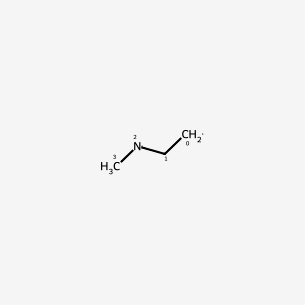 [CH2]C[N]C